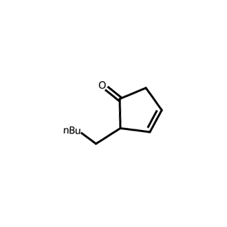 CCCCCC1C=CCC1=O